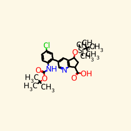 CC(C)(C)OC(=O)Nc1ccc(Cl)cc1-c1cnc2c(c1)C(O[Si](C)(C)C(C)(C)C)CC2C(=O)O